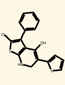 OC1=C(c2cccs2)CNc2sc(Cl)c(-c3ccccc3)c21